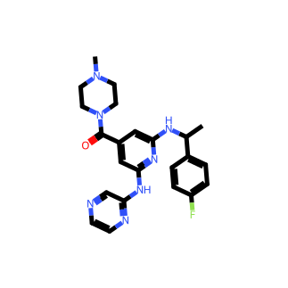 CC(Nc1cc(C(=O)N2CCN(C)CC2)cc(Nc2cnccn2)n1)c1ccc(F)cc1